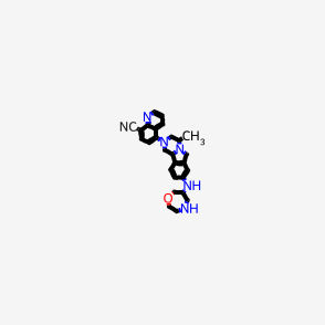 CC1CN(c2ccc(C#N)c3ncccc23)CC2c3ccc(NC4CNCCOC4)cc3CN12